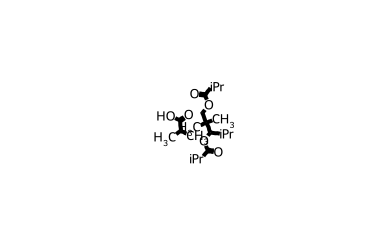 CC(C)C(=O)O.CC(C)C(=O)OCC(C)(C)C(OC(=O)C(C)C)C(C)C